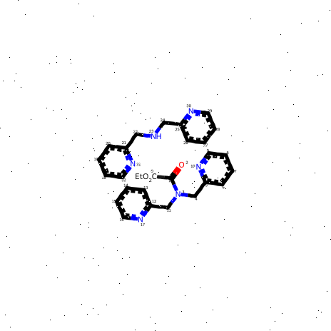 CCOC(=O)C(=O)N(Cc1ccccn1)Cc1ccccn1.c1ccc(CNCc2ccccn2)nc1